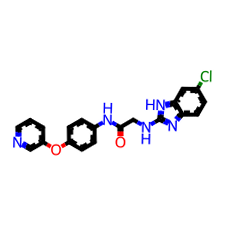 O=C(CNc1nc2ccc(Cl)cc2[nH]1)Nc1ccc(Oc2cccnc2)cc1